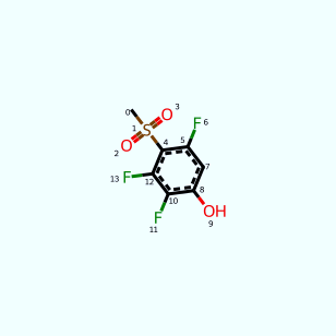 CS(=O)(=O)c1c(F)cc(O)c(F)c1F